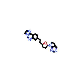 c1ncc2ccn(C3CCC(CCc4ccc5c(c4)ncn4ccnc54)O3)c2n1